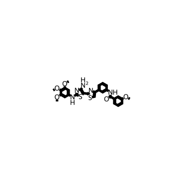 COc1cccc(C(=O)Nc2cccc(-c3csc(-c4sc(Nc5cc(OC)c(OC)c(OC)c5)nc4N)n3)c2)c1